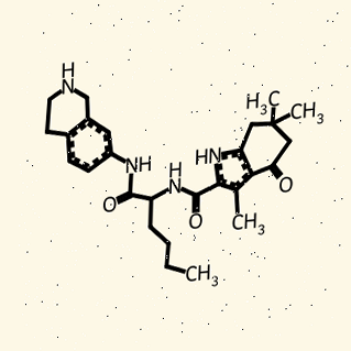 CCCCC(NC(=O)c1[nH]c2c(c1C)C(=O)CC(C)(C)C2)C(=O)Nc1ccc2c(c1)CNCC2